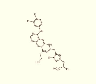 CCC(Sc1nn(CC(=O)Nc2cc3c(Nc4ccc(F)c(Cl)c4)ncnc3cc2NCCO)c(=S)s1)C(=O)O